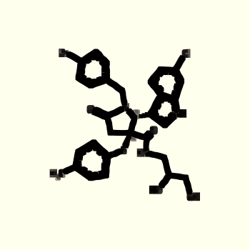 Cc1ccc(S[C@@]2(C(=O)NCC(O)CO)CC(=O)N(Cc3ccc(Br)cc3)[C@@H]2c2c[nH]c3cc(Cl)ccc23)cc1